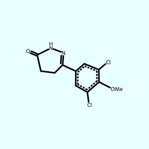 COc1c(Cl)cc(C2=NNC(=O)CC2)cc1Cl